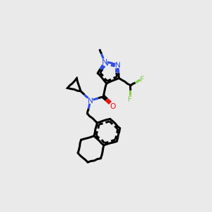 Cn1cc(C(=O)N(Cc2cccc3c2CCCC3)C2CC2)c(C(F)F)n1